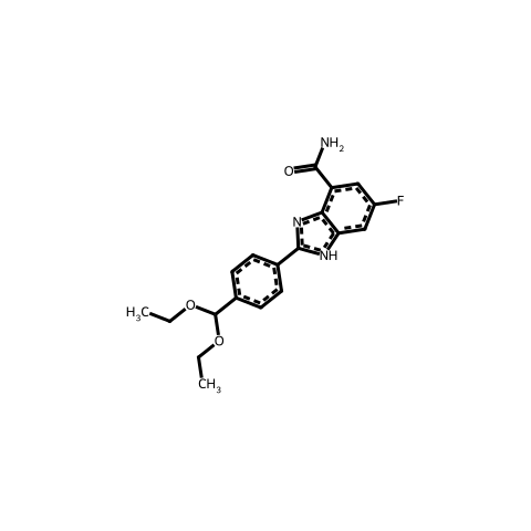 CCOC(OCC)c1ccc(-c2nc3c(C(N)=O)cc(F)cc3[nH]2)cc1